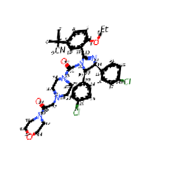 CCOc1ccc(C(C)(C)C#N)cc1C1=N[C@@H](c2ccc(Cl)cc2)[C@@H](c2ccc(Cl)cc2)N1C(=O)N1CCN(CC(=O)N2CCOCC2)CC1